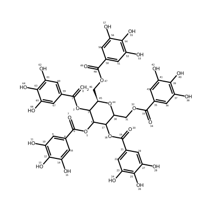 C=C(OC1C(OC(=O)c2cc(O)c(O)c(O)c2)C(OC(=O)c2cc(O)c(O)c(O)c2)C(COC(=O)c2cc(O)c(O)c(O)c2)O[C@@H]1COC(=O)c1cc(O)c(O)c(O)c1)c1cc(O)c(O)c(O)c1